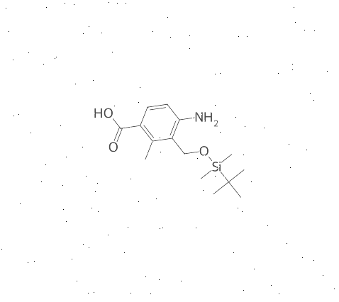 Cc1c(C(=O)O)ccc(N)c1CO[Si](C)(C)C(C)(C)C